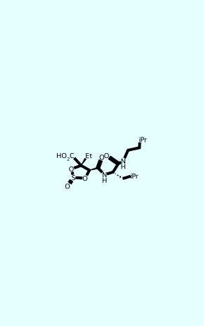 CC[C@]1(C(=O)O)OS(=O)O[C@@H]1C(=O)N[C@@H](CC(C)C)C(=O)NCCC(C)C